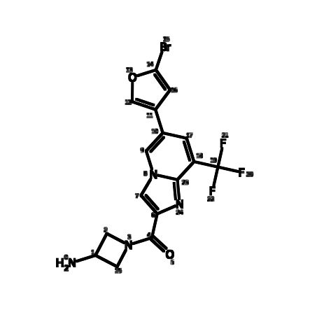 NC1CN(C(=O)c2cn3cc(-c4coc(Br)c4)cc(C(F)(F)F)c3n2)C1